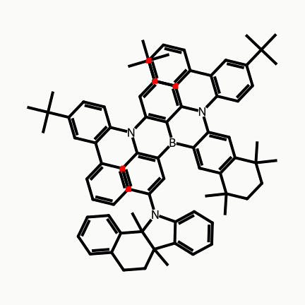 CC(C)(C)c1ccc(N2c3ccc(N4c5ccccc5C5(C)CCc6ccccc6C45C)cc3B3c4cc5c(cc4N(c4ccc(C(C)(C)C)cc4-c4ccccc4)c4cc(C(C)(C)C)cc2c43)C(C)(C)CCC5(C)C)c(-c2ccccc2)c1